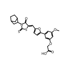 COc1cc(OCC(=O)O)cc(-c2ccc(C=C3SC(=S)N(C4CC5CCC4C5)C3=O)o2)c1